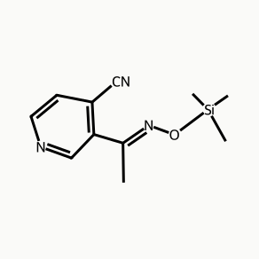 CC(=NO[Si](C)(C)C)c1cnccc1C#N